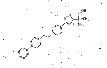 C[C@](N)(CO)c1ncc(-c2ccc(OCC3=CC=C(c4ccccc4)CC3)cc2)[nH]1